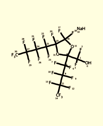 OC(F)(F)C1(C(F)(F)C(F)(F)C(F)(F)C(F)(F)F)OC(F)(F)C(F)(C(F)(F)C(F)(F)C(F)(F)C(F)(F)F)O1.[NaH]